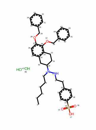 CCCCCCN(NCCc1ccc(S(=O)(=O)O)cc1)C1CCc2c(ccc(OCc3ccccc3)c2OCc2ccccc2)C1.Cl.Cl